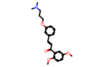 COc1ccc(OC)c(C(=O)C=Cc2cccc(OCCCN(C)C)c2)c1